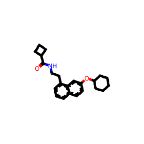 O=C(NCCc1cccc2ccc(OC3CCCCC3)cc12)C1CCC1